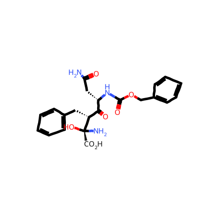 NC(=O)C[C@H](NC(=O)OCc1ccccc1)C(=O)[C@@H](Cc1ccccc1)[C@](N)(O)C(=O)O